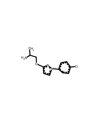 CC(N)COc1ccn(-c2ccc(Cl)cc2)n1